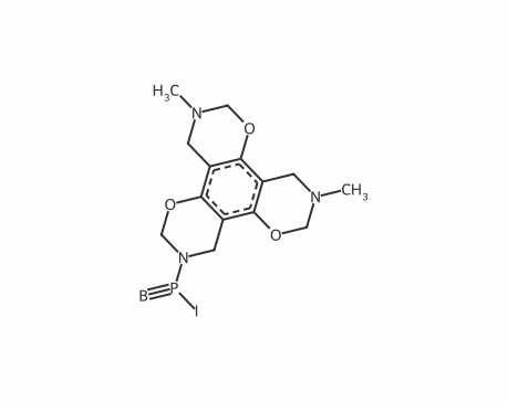 B#P(I)N1COc2c3c(c4c(c2C1)OCN(C)C4)OCN(C)C3